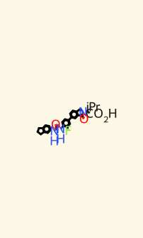 CC(C)C(C(=O)O)N1Cc2ccc(-c3ccc(NC(=O)Nc4ccc5c(c4)CCC5)c(F)c3)cc2C1=O